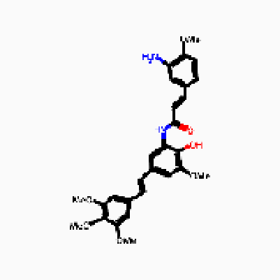 COc1ccc(/C=C/C(=O)Nc2cc(/C=C/c3cc(OC)c(OC)c(OC)c3)cc(OC)c2O)cc1N